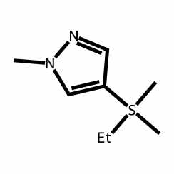 CCS(C)(C)c1cnn(C)c1